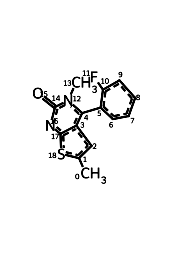 Cc1cc2c(-c3ccccc3F)n(C)c(=O)nc2s1